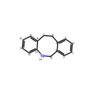 c1ccc2c(c1)CCc1ccccc1[N]C2